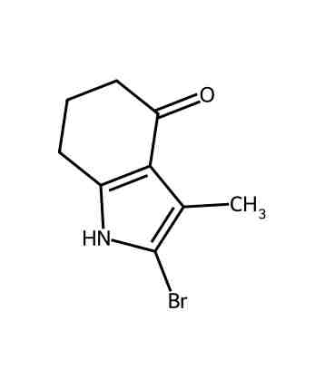 Cc1c(Br)[nH]c2c1C(=O)CCC2